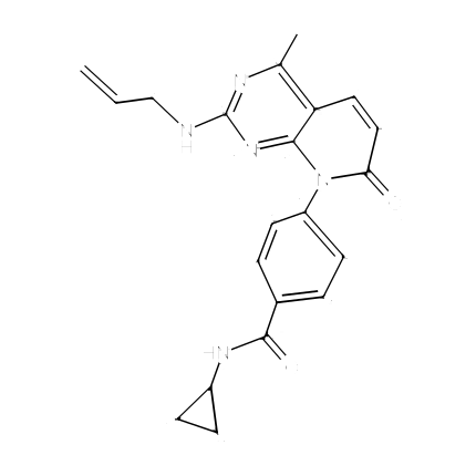 C=CCNc1nc(C)c2ccc(=O)n(-c3ccc(C(=O)NC4CC4)cc3)c2n1